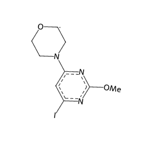 COc1nc(I)cc(N2C[CH]OCC2)n1